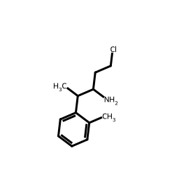 Cc1ccccc1C(C)C(N)CCCl